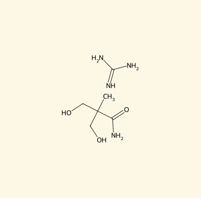 CC(CO)(CO)C(N)=O.N=C(N)N